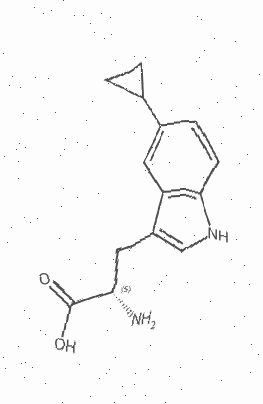 N[C@@H](Cc1c[nH]c2ccc(C3CC3)cc12)C(=O)O